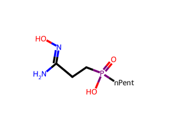 CCCCCP(=O)(O)CCC(N)=NO